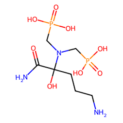 NCCCC(O)(C(N)=O)N(CP(=O)(O)O)CP(=O)(O)O